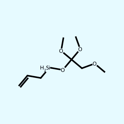 C=CC[SiH2]OC(COC)(OC)OC